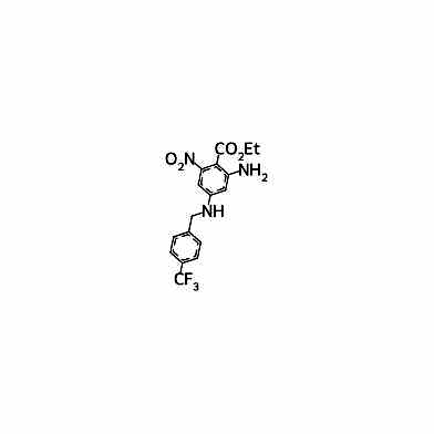 CCOC(=O)c1c(N)cc(NCc2ccc(C(F)(F)F)cc2)cc1[N+](=O)[O-]